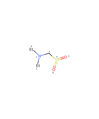 CCN(CC)C[SH](=O)=O